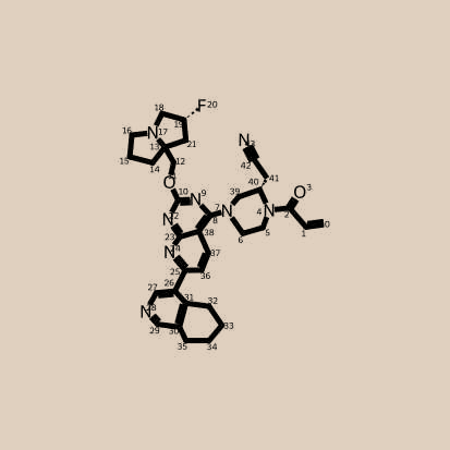 C=CC(=O)N1CCN(c2nc(OCC34CCCN3C[C@H](F)C4)nc3nc(-c4cncc5c4CCCC5)ccc23)C[C@@H]1CC#N